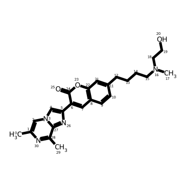 Cc1cn2cc(-c3cc4ccc(CCCCN(C)CCO)cc4oc3=O)nc2c(C)n1